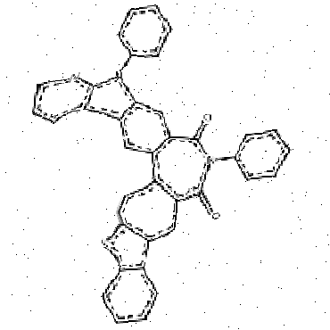 O=c1c2cc3c(cc2c2cc4c5cccnc5n(-c5ccccc5)c4cc2c(=O)n1-c1ccccc1)sc1ccccc13